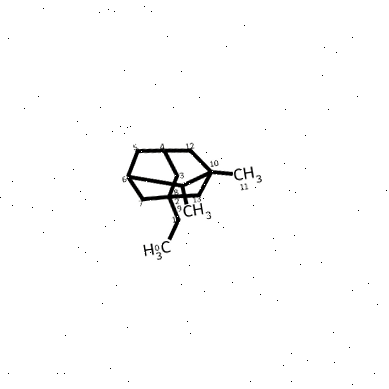 CCC12CC3CC(C1)C(C)C(C)(C3)C2